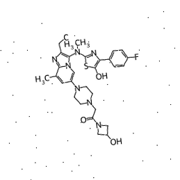 CCc1nc2c(C)cc(N3CCN(CC(=O)N4CC(O)C4)CC3)cn2c1N(C)c1nc(-c2ccc(F)cc2)c(O)s1